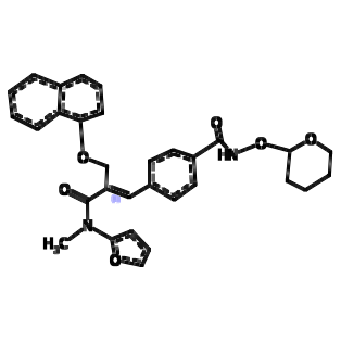 CN(C(=O)/C(=C/c1ccc(C(=O)NOC2CCCCO2)cc1)COc1cccc2ccccc12)c1ccco1